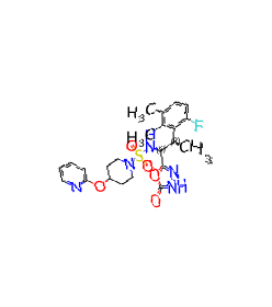 Cc1ccc(F)c([C@@H](C)[C@H](NS(=O)(=O)N2CCC(Oc3ccccn3)CC2)c2n[nH]c(=O)o2)c1C